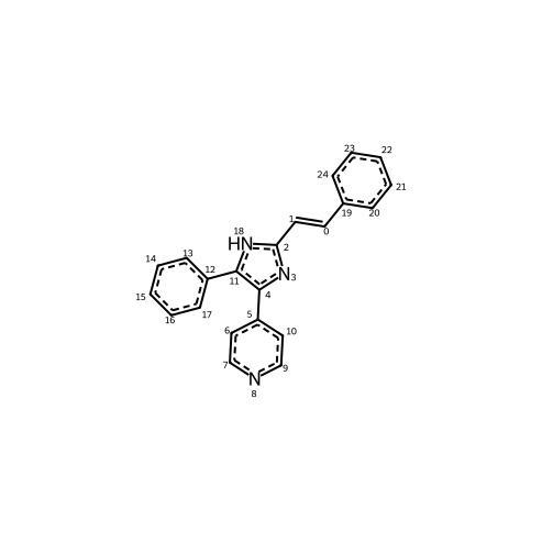 C(=Cc1nc(-c2ccncc2)c(-c2ccccc2)[nH]1)c1ccccc1